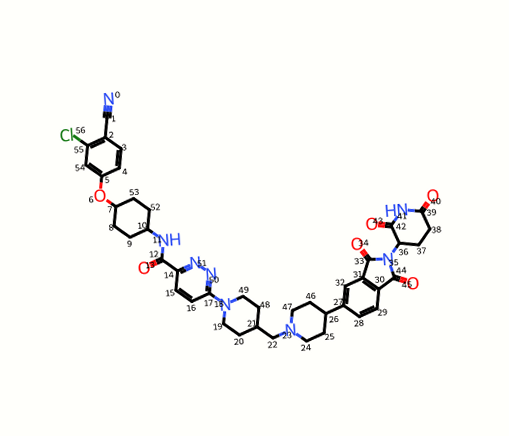 N#Cc1ccc(OC2CCC(NC(=O)c3ccc(N4CCC(CN5CCC(c6ccc7c(c6)C(=O)N(C6CCC(=O)NC6=O)C7=O)CC5)CC4)nn3)CC2)cc1Cl